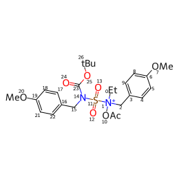 CC[N+](Cc1ccc(OC)cc1)(OC(C)=O)S(=O)(=O)N(Cc1ccc(OC)cc1)C(=O)OC(C)(C)C